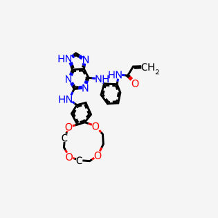 C=CC(=O)Nc1ccccc1Nc1nc(Nc2ccc3c(c2)OCCOCCOCCO3)nc2[nH]cnc12